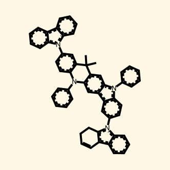 CC1(C)c2cc(-n3c4ccccc4c4ccccc43)ccc2N(c2ccccc2)c2cc3c4cc(-n5c6c(c7ccccc75)C=CCC6)ccc4n(-c4ccccc4)c3cc21